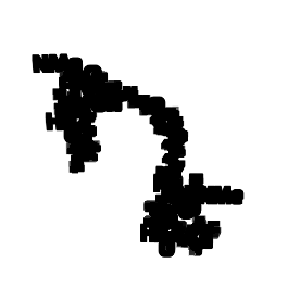 CN[C@@H](C)C(=O)N[C@H](C(=O)N1CC(C)(C)c2[nH]c(=O)c(Cc3ccc(F)cc3)cc21)[C@H](C)n1cc(CCCCOc2ccc(OCCCCc3cn([C@@H](C)[C@H](NC(=O)[C@H](C)NC)C(=O)N4CC(C)(C)c5[nH]c(=O)c(Cc6ccc(F)cc6)cc54)nn3)cc2)nn1